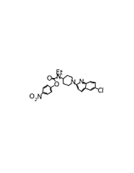 CCN(C(=O)Oc1ccc([N+](=O)[O-])cc1)C1CCN(c2ccc3cc(Cl)ccc3n2)CC1